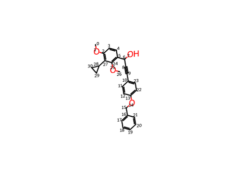 COc1ccc(C(O)C#Cc2ccc(OCc3ccccc3)cc2)c(OC)c1C1CC1